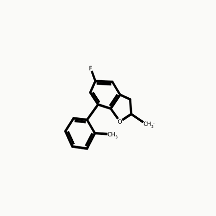 [CH2]C1Cc2cc(F)cc(-c3ccccc3C)c2O1